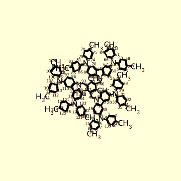 Cc1ccc(N(c2ccc(C)cc2)c2ccc3c(c2)c2cc(N(c4ccc(C)cc4)c4ccc(C)cc4)ccc2n3Cc2c(C)c(Cn3c4ccc(N(c5ccc(C)cc5)c5ccc(C)cc5)cc4c4cc(N(c5ccc(C)cc5)c5ccc(C)cc5)ccc43)c(C)c(Cn3c4ccc(N(c5ccc(C)cc5)c5ccc(C)cc5)cc4c4cc(N(c5ccc(C)cc5)c5ccc(C)cc5)ccc43)c2C)cc1